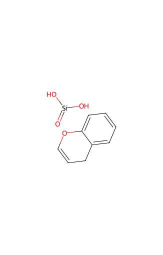 C1=COc2ccccc2C1.O=[Si](O)O